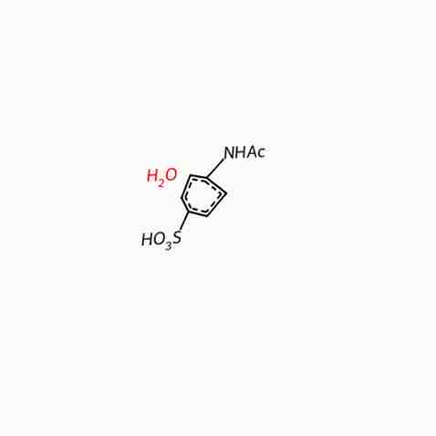 CC(=O)Nc1ccc(S(=O)(=O)O)cc1.O